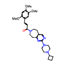 COc1cc(OC)c(OC)cc1C=CC(=O)N1CCc2cnc(N3CCN(C4CCC4)CC3)nc2CC1